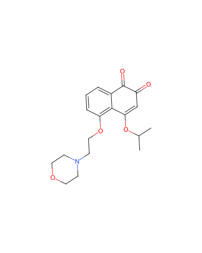 CC(C)OC1=CC(=O)C(=O)c2cccc(OCCN3CCOCC3)c21